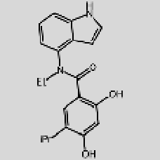 CCN(C(=O)c1cc(C(C)C)c(O)cc1O)c1cccc2[nH]ccc12